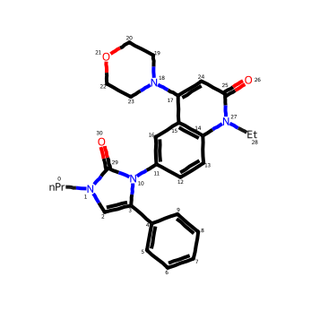 CCCn1cc(-c2ccccc2)n(-c2ccc3c(c2)c(N2CCOCC2)cc(=O)n3CC)c1=O